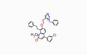 Cn1c(=O)cc(-c2cccc(Cl)c2)c2ccc(OCCc3cncn3Cc3ccccc3)c(CCc3ccccc3)c21